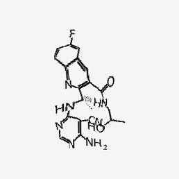 CC(O)CNC(=O)c1cc2cc(F)ccc2nc1[C@H](C)Nc1ncnc(N)c1C#N